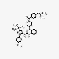 Cc1ccc(-n2nc(C(C)(C)C)cc2NC(=O)Nc2ccccc2CC2CCN(C(=O)c3ccc(CC(C)C)cc3)CC2)cc1